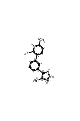 Cc1ccc(-c2cccc(-c3nn[nH]c3C#N)c2)c(F)n1